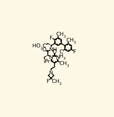 Cc1cc(-c2c(C)cc(F)cc2C)cc([C@H](CC(=O)O)NC(=O)[C@H](CC(C)C)n2cc(CCN3CC(C)(F)C3)c(C)nc2=O)c1F